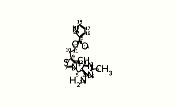 Cc1ncc(C[n+]2csc(CCOC(=O)c3cccnc3)c2C)c(N)n1